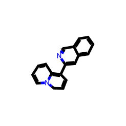 [c]1nc(C2=C3C=CC=CN3CC=C2)cc2ccccc12